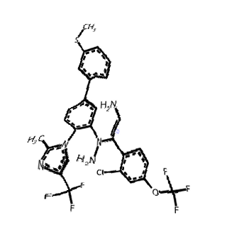 CSc1cccc(-c2ccc(-n3cc(C(F)(F)F)nc3C)c(N(N)/C(=C\N)c3ccc(OC(F)(F)F)cc3Cl)c2)c1